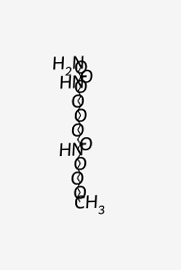 CCOCCOCCOCCNC(=O)CCOCCOCCOCCONC(=O)CON